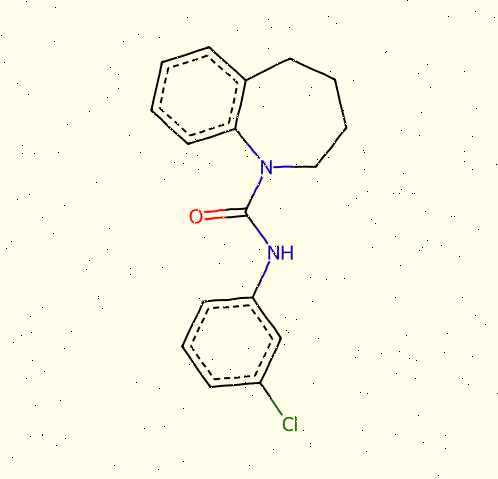 O=C(Nc1cccc(Cl)c1)N1CCCCc2ccccc21